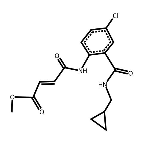 COC(=O)C=CC(=O)Nc1ccc(Cl)cc1C(=O)NCC1CC1